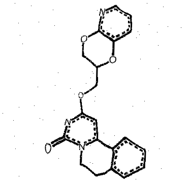 O=c1nc(OCC2COc3ncccc3O2)cc2n1CCc1ccccc1-2